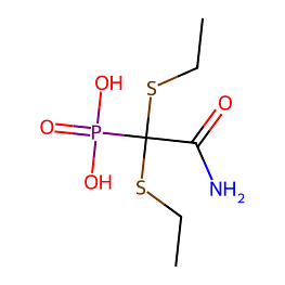 CCSC(SCC)(C(N)=O)P(=O)(O)O